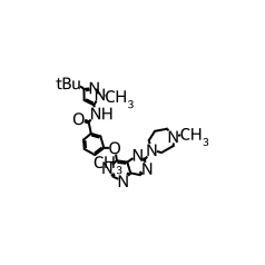 Cc1ccc(C(=O)Nc2cc(C(C)(C)C)nn2C)cc1Oc1ncnc2cnc(N3CCCN(C)CC3)nc12